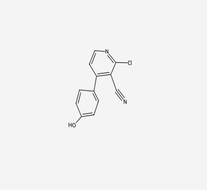 N#Cc1c(-c2ccc(O)cc2)ccnc1Cl